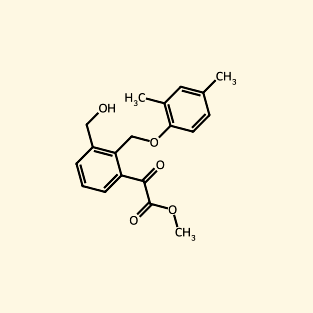 COC(=O)C(=O)c1cccc(CO)c1COc1ccc(C)cc1C